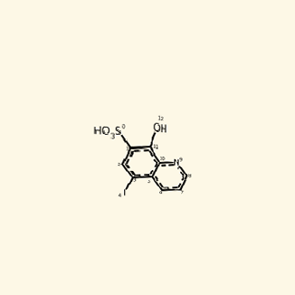 O=S(=O)(O)c1cc(I)c2cccnc2c1O